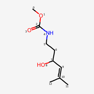 COC(=O)NCCC(O)C=C(C)C